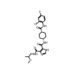 COC(C)CNC(=O)c1nc[nH]c1C(=O)N[C@H]1CC[C@H](C(=O)Nc2ccc(F)cc2Cl)CC1